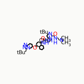 CN(C)CCNC(=O)c1nc(NC(=O)N[C@@]2(C=O)C=C[C@@H](Oc3ccc4nnc(CC(C)(C)C)n4c3)c3ccccc32)cc(C(C)(C)C)n1